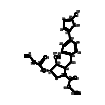 CC(C)(C)OC(=O)O[C@H]1CN(C(=O)OC(C)(C)C)[C@H](Cc2ccc(-c3ccc(Cl)s3)cc2)[C@@H]1O